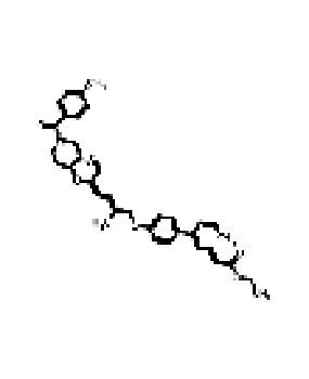 C=C/C(=C\C=C(/C)COc1ccc(C(/C=C\C)=C/C=C/C(=O)OCC)cc1)OC1CCN(C(=O)c2ccc(C)cc2)CC1